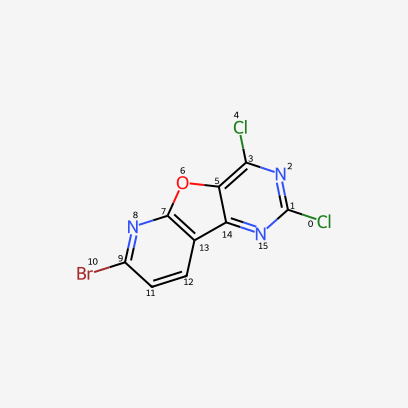 Clc1nc(Cl)c2oc3nc(Br)ccc3c2n1